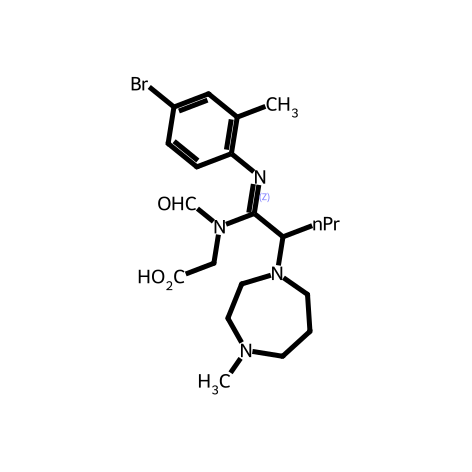 CCCC(/C(=N/c1ccc(Br)cc1C)N(C=O)CC(=O)O)N1CCCN(C)CC1